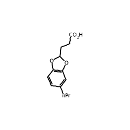 CCCc1ccc2c(c1)OC(CCC(=O)O)O2